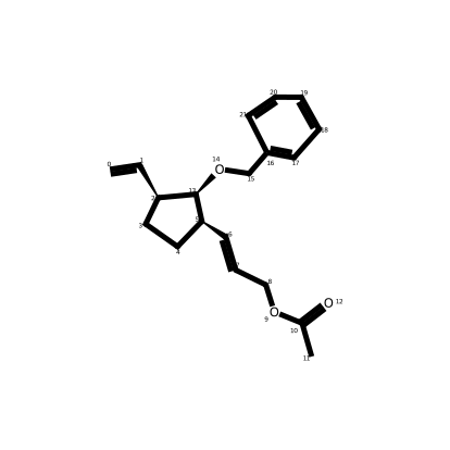 C=C[C@@H]1CC[C@H](C=CCOC(C)=O)[C@@H]1OCc1ccccc1